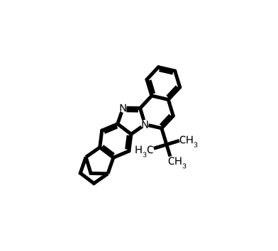 CC(C)(C)c1cc2ccccc2c2nc3cc4c(cc3n12)C1CCC4C1